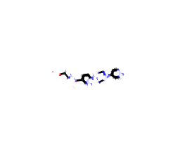 COC(=O)CCNC(=O)c1ccc(N2CCN(c3ccncc3)CC2)nc1